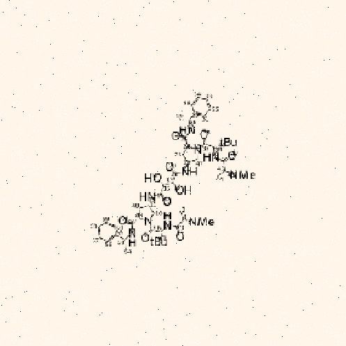 CN[C@@H](C)C(=O)N[C@H](C(=O)N1C[C@@H](NC(=O)[C@H](O)[C@@H](O)C(=O)N[C@H]2C[C@@H](C(=O)N[C@H](C)c3ccccc3)N(C(=O)[C@@H](NC(=O)[C@H](C)NC)C(C)(C)C)C2)C[C@H]1C(=O)N[C@H](C)c1ccccc1)C(C)(C)C